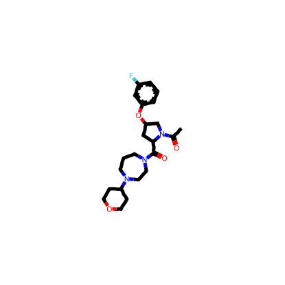 CC(=O)N1CC(Oc2cccc(F)c2)CC1C(=O)N1CCCN(C2CCOCC2)CC1